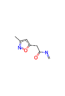 C=NC(=O)Cc1cc(C)no1